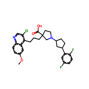 COc1ccc2ncc(Cl)c(CCCC3(C(=O)O)CCN(C4CCC(c5cc(F)ccc5F)C4)C3)c2c1